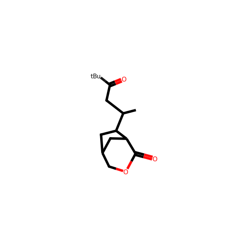 CC(CC(=O)C(C)(C)C)C1CC2COC(=O)C1C2